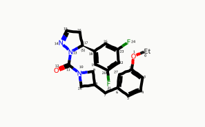 CCOc1cccc(CC2CN(C(=O)N3N=CC[C@H]3c3cc(F)cc(F)c3)C2)c1